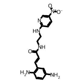 Nc1ccc(N)c(/C=C/C(=O)NCCNc2ccc([N+](=O)[O-])cn2)c1